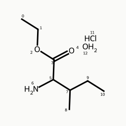 CCOC(=O)C(N)C(C)CC.Cl.O